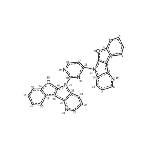 c1ccc2c(c1)oc1c2c2ncccc2n1-c1ccnc(-n2c3cccnc3c3c4ccccc4oc32)n1